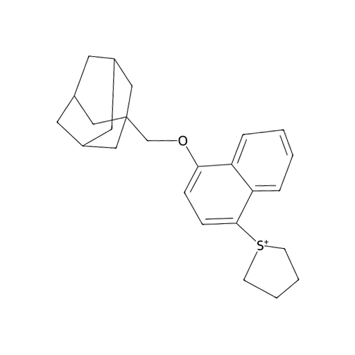 c1ccc2c([S+]3CCCC3)ccc(OCC34CC5CC(CC(C5)C3)C4)c2c1